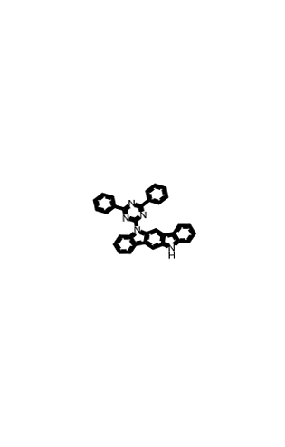 c1ccc(-c2nc(-c3ccccc3)nc(-n3c4ccccc4c4cc5[nH]c6ccccc6c5cc43)n2)cc1